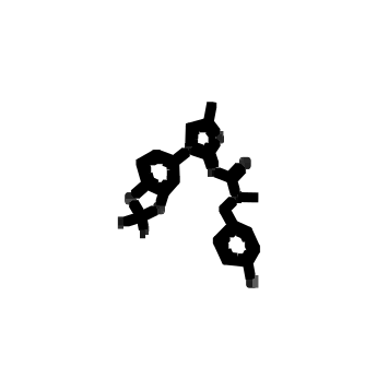 Cc1cn(-c2ccc3c(c2)OC(F)(F)O3)c(=NC(=O)N(C)Cc2ccc(Cl)cc2)s1